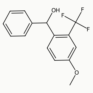 COc1ccc(C(O)c2ccccc2)c(C(F)(F)F)c1